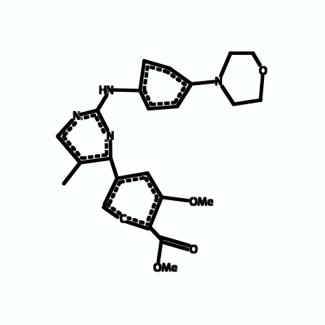 COC(=O)c1ccc(-c2nc(Nc3ccc(N4CCOCC4)cc3)ncc2C)cc1OC